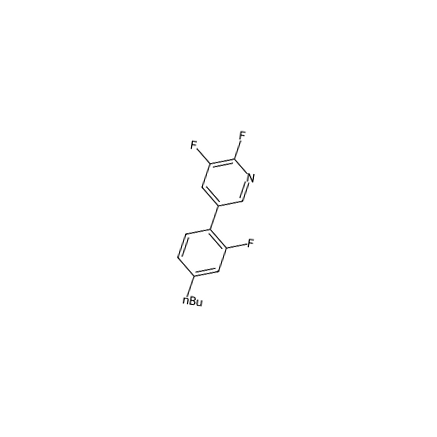 CCCCc1ccc(-c2cnc(F)c(F)c2)c(F)c1